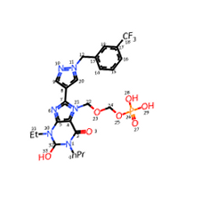 CCCN1C(=O)c2c(nc(-c3cnn(Cc4cccc(C(F)(F)F)c4)c3)n2COCOP(=O)(O)O)N(CC)C1O